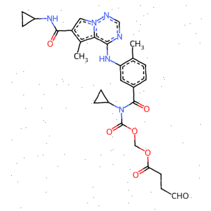 Cc1ccc(C(=O)N(C(=O)OCOC(=O)CCC=O)C2CC2)cc1Nc1ncnn2cc(C(=O)NC3CC3)c(C)c12